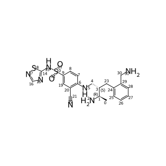 C[C@@H](N)[C@H](CNc1ccc(S(=O)(=O)Nc2ncns2)cc1C#N)Cc1ccccc1CN